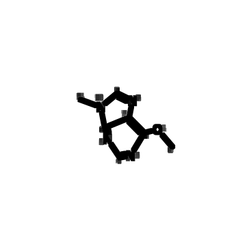 COc1ncnc2c1ncn2C